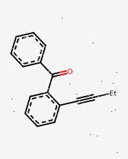 CCC#Cc1ccccc1C(=O)c1ccccc1